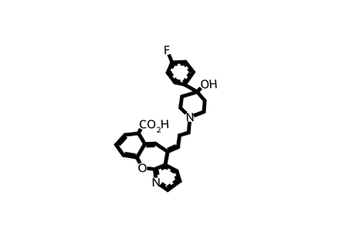 O=C(O)C1C=CC=C2Oc3ncccc3C(=CCCN3CCC(O)(c4ccc(F)cc4)CC3)C=C21